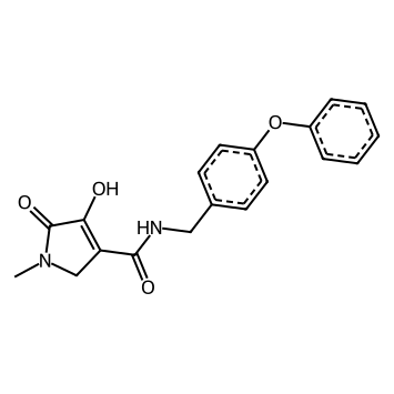 CN1CC(C(=O)NCc2ccc(Oc3ccccc3)cc2)=C(O)C1=O